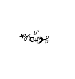 CN(C(=O)OC(C)(C)C)[C@@H]1CCN(c2ncc(C(=O)[O-])cn2)C1.[Li+]